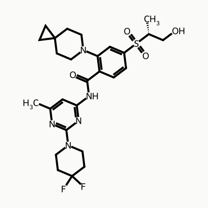 Cc1cc(NC(=O)c2ccc(S(=O)(=O)[C@H](C)CO)cc2N2CCC3(CC2)CC3)nc(N2CCC(F)(F)CC2)n1